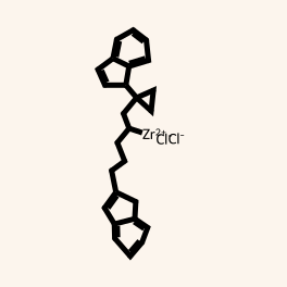 [Cl-].[Cl-].[Zr+2][CH](CCCC1=Cc2ccccc2C1)CC1(C2C=Cc3ccccc32)CC1